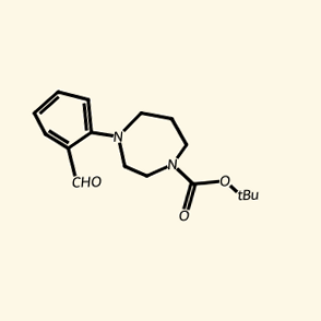 CC(C)(C)OC(=O)N1CCCN(c2ccccc2C=O)CC1